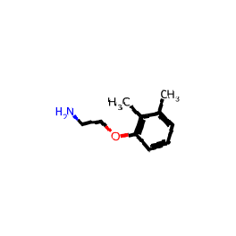 Cc1cc[c]c(OCCN)c1C